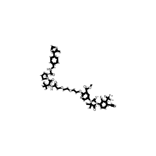 COC(=O)c1cc(N2C(=S)N(c3ccc(C#N)c(C(F)(F)F)c3F)C(=O)C2(C)C)cnc1OCCOCCOCC(=O)N[C@H](C(=O)N1CCC[C@H]1C(=O)NCc1ccc(-c2scnc2C)cc1)C(C)(C)C